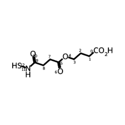 O=C(O)CCCOC(=O)CCC(=O)NS